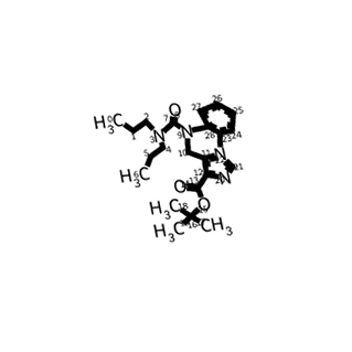 CCCN(CCC)C(=O)N1Cc2c(C(=O)OC(C)(C)C)ncn2-c2ccccc21